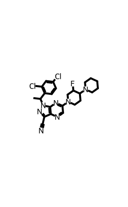 CC(c1ccc(Cl)cc1Cl)n1nc(C#N)c2ncc(N3CCC(N4CCCCC4)C(F)C3)nc21